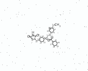 CCc1ccc(C(COc2ccc(CC3SC(=O)NC3=O)cc2)OC(=O)c2ccccc2)cn1